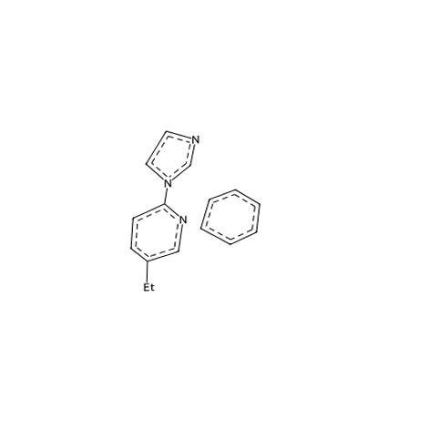 CCc1ccc(-n2ccnc2)nc1.c1ccccc1